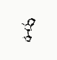 COc1ccccc1N=C(C)c1ccn[nH]1